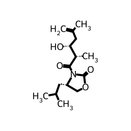 C=C(C)C[C@@H](O)[C@H](C)C(=O)N1C(=O)OC[C@@H]1CC(C)C